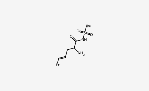 CC/C=C/CC(N)C(=O)NS(=O)(=O)C(C)CC